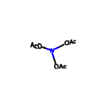 CC(=O)ON(OC(C)=O)OC(C)=O